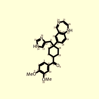 COc1ccc(C(=O)C2CCC(Cc3c[nH]cn3)(c3ccc4c(c3)C=NC=CN4)CC2)cc1OC